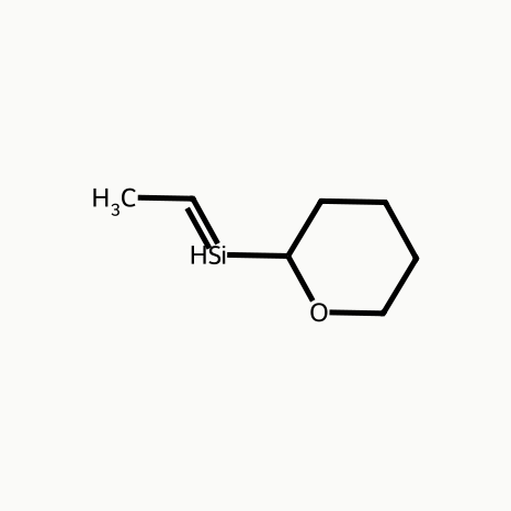 CC=[SiH]C1CCCCO1